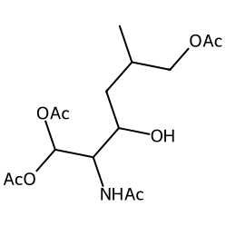 CC(=O)NC(C(O)CC(C)COC(C)=O)C(OC(C)=O)OC(C)=O